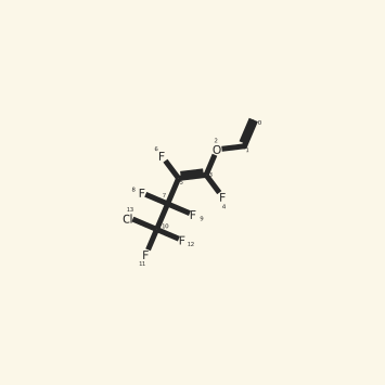 C=COC(F)=C(F)C(F)(F)C(F)(F)Cl